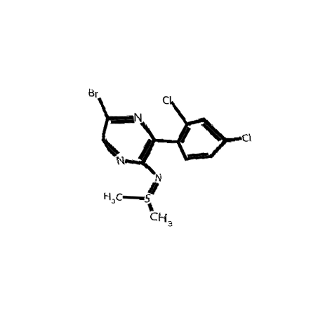 CS(C)=Nc1ncc(Br)nc1-c1ccc(Cl)cc1Cl